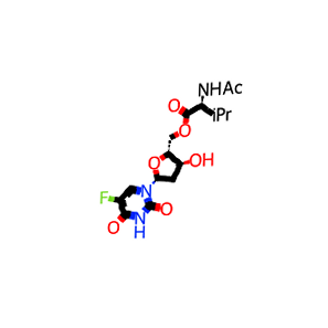 CC(=O)N[C@@H](C(=O)OC[C@H]1O[C@@H](n2cc(F)c(=O)[nH]c2=O)C[C@@H]1O)C(C)C